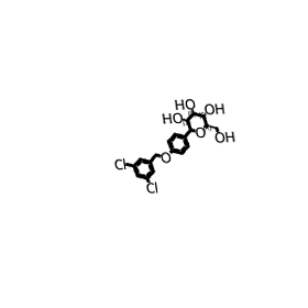 OC[C@H]1OC(c2ccc(OCc3cc(Cl)cc(Cl)c3)cc2)[C@@H](O)[C@@H](O)[C@@H]1O